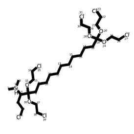 C[SiH](C)C(CCCl)C(CCCCCCCCCCCC(OCCCl)(OCCCl)OCCCl)(OCCCl)OCCCl